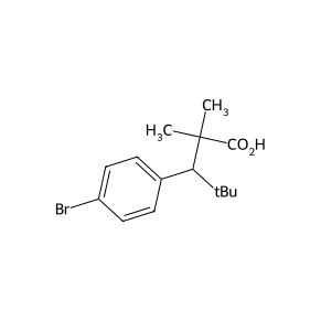 CC(C)(C)C(c1ccc(Br)cc1)C(C)(C)C(=O)O